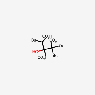 CCC(C)C(C(=O)O)C(O)(C(=O)O)C(C(=O)O)(C(C)CC)C(C)CC